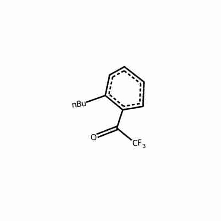 CCCCc1ccccc1C(=O)C(F)(F)F